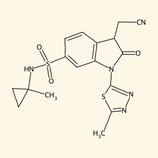 Cc1nnc(N2C(=O)C(CC#N)c3ccc(S(=O)(=O)NC4(C)CC4)cc32)s1